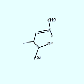 CCCCC(O)C(C)/C=C(\C)C=O